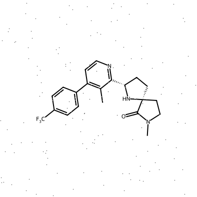 Cc1c(-c2ccc(C(F)(F)F)cc2)ccnc1[C@@H]1CC[C@@]2(CCN(C)C2=O)N1